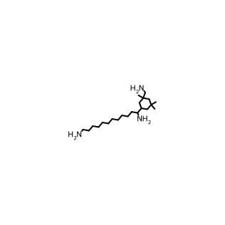 CC1(C)CC(C(N)CCCCCCCCCCCN)CC(C)(CN)C1